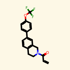 C=CC(=O)N1CCc2ccc(-c3ccc(OC(F)(F)F)cc3)cc2C1